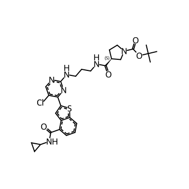 CC(C)(C)OC(=O)N1CC[C@H](C(=O)NCCCNc2ncc(Cl)c(-c3cc4c(C(=O)NC5CC5)cccc4s3)n2)C1